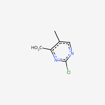 Cc1cnc(Cl)nc1C(=O)O